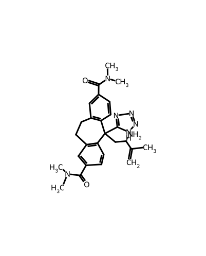 C=C(C)[C@@H](N)CC1(c2nnn[nH]2)c2ccc(C(=O)N(C)C)cc2CCc2cc(C(=O)N(C)C)ccc21